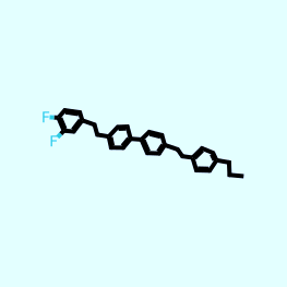 CCCc1ccc(CCc2ccc(-c3ccc(CCc4ccc(F)c(F)c4)cc3)cc2)cc1